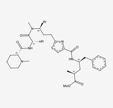 CCC[C@H](NC(=O)[C@H]1CCCCN1C)C(=O)N(C)[C@H](CCc1nc(C(=O)N[C@@H](Cc2ccccc2)C[C@H](C)C(=O)OC)cs1)C(C)C